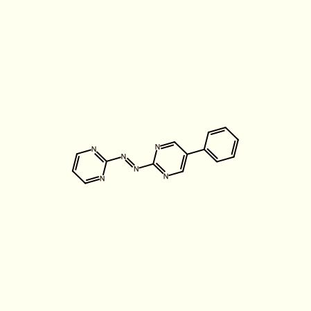 c1ccc(-c2cnc(N=Nc3ncccn3)nc2)cc1